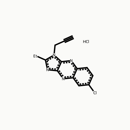 C#CCn1c(CC)nc2nc3cc(Cl)ccc3nc21.Cl